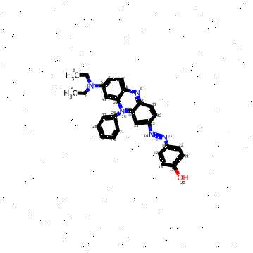 CCN(CC)c1ccc2nc3ccc(/N=N/c4ccc(O)cc4)cc3[n+](-c3ccccc3)c2c1